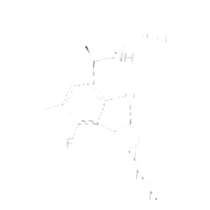 C[C@@H](N[S@+]([O-])C(C)(C)C)c1cc(F)c(F)c2c1O[C@@](C)(CN=[N+]=[N-])C2